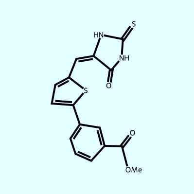 COC(=O)c1cccc(-c2ccc(C=C3NC(=S)NC3=O)s2)c1